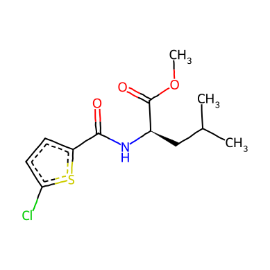 COC(=O)[C@@H](CC(C)C)NC(=O)c1ccc(Cl)s1